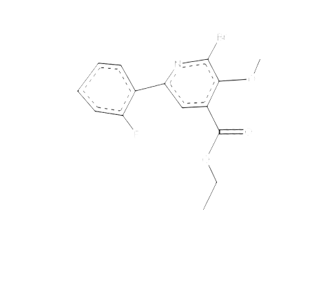 CCOC(=O)c1cc(-c2ccccc2F)nc(Br)c1OC